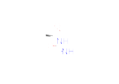 C#C[C@H](NC(=O)[C@@H](NC(C)C)C(C)C)C(C)=O